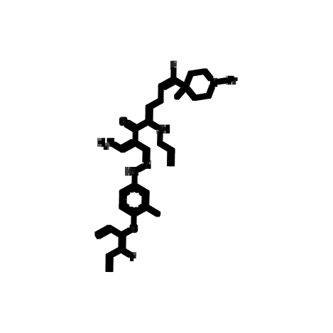 C=CCN/C(=C\C/C=C(/F)C1(C)CCN(C(C)C)CC1)C(=O)C(/C=N\Nc1ccc(O/C(C=C)=C(\F)C=C)c(C)c1)=C\N